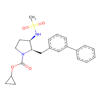 CS(=O)(=O)N[C@@H]1CCN(C(=O)OC2CC2)[C@@H]1Cc1cccc(-c2ccccc2)c1